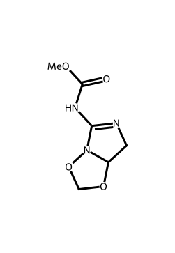 COC(=O)NC1=NCC2OCON12